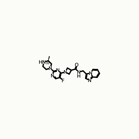 C[C@H]1CN(c2ncc(F)c(N3CC(C(=O)NCc4cnc5ccccn45)C3)n2)CCN1